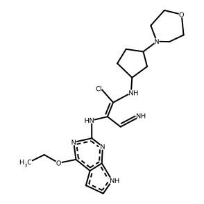 CCOc1nc(N/C(C=N)=C(\Cl)NC2CCC(N3CCOCC3)C2)nc2[nH]ccc12